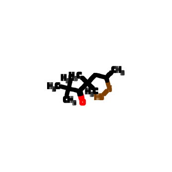 CC(CC(C)(C)C(=O)C(C)(C)C)SS